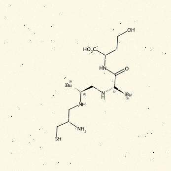 CC[C@H](C)[C@H](NC[C@@H](NCC(N)CS)[C@@H](C)CC)C(=O)NC(CCO)C(=O)O